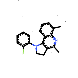 Cc1nc2c(C)cccc2c2c1CCN2c1ccccc1F